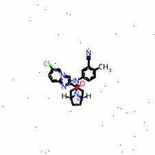 Cc1ccc(NC2C[C@H]3CC[C@@H](C2)N3C(=O)c2cn3cc(Cl)ccc3n2)cc1C#N